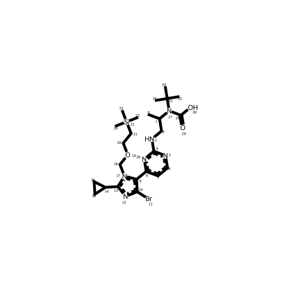 CC(CNc1nccc(-c2c(Br)nc(C3CC3)n2COCC[Si](C)(C)C)n1)N(C(=O)O)C(C)(C)C